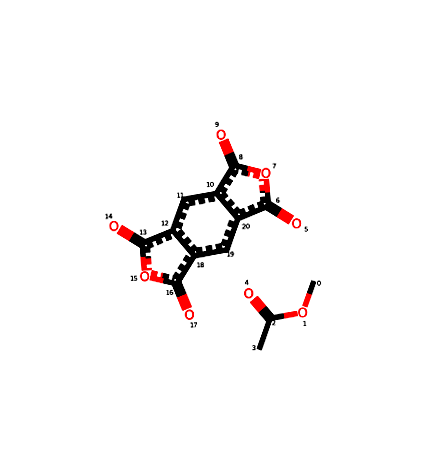 COC(C)=O.O=c1oc(=O)c2cc3c(=O)oc(=O)c3cc12